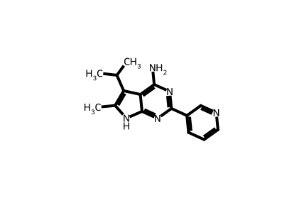 Cc1[nH]c2nc(-c3cccnc3)nc(N)c2c1C(C)C